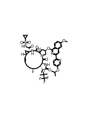 CC[C@@H]1C[C@@H](C)CCC=C[C@@H]2C[C@@]2(C(=O)NS(=O)(=O)C2CC2)NC(=O)[C@@H]2C[C@@H](Oc3nc(-c4ccc(OC(C)C)cn4)cc4cc(OC)ccc34)CN2C(=O)[C@H]1NC(=O)OC(C)(C)C(F)(F)F